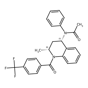 CC(=O)N(c1ccccc1)[C@H]1C[C@@H](C)N(C(=O)c2ccc(C(F)(F)F)cc2)c2ccccc21